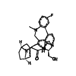 CN1Cc2c(C3=C[C@H]4CC[C@@H](C3)N4CC(=O)N3CCC[C@H]3CO)[nH]c3nccc(c23)-c2cc(F)ccc21